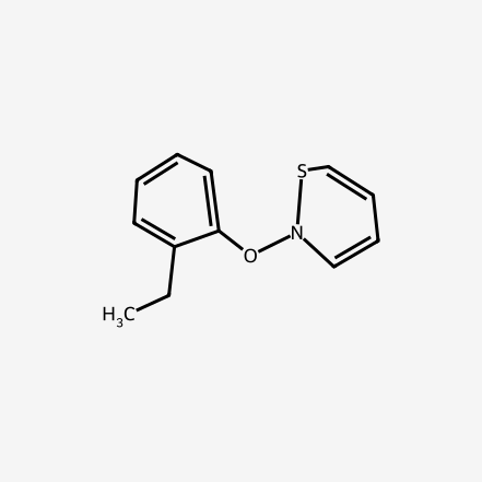 CCc1ccccc1ON1C=CC=CS1